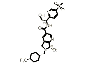 CC[C@H]1c2ncc(C(=O)N[C@@H](CO)c3ccc(S(C)(=O)=O)cn3)cc2CN1C[C@H]1CC[C@H](C(F)(F)F)CC1